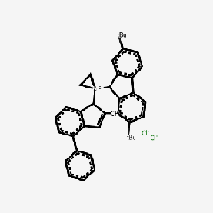 CC1=Cc2c(-c3ccccc3)cccc2[CH]1[Zr+2]1([CH]2c3cc(C(C)(C)C)ccc3-c3ccc(C(C)(C)C)cc32)[CH2][CH2]1.[Cl-].[Cl-]